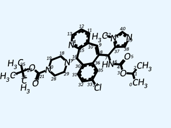 CC(C)OC(=O)NC(C1=Cc2cccnc2[C@@H](N2CCN(C(=O)OC(C)(C)C)CC2)c2ccc(Cl)cc21)c1cncn1C